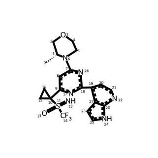 C[C@@H]1COCCN1c1cc(C2(S(=N)(=O)C(F)(F)F)CC2)nc(-c2ccnc3[nH]ccc23)n1